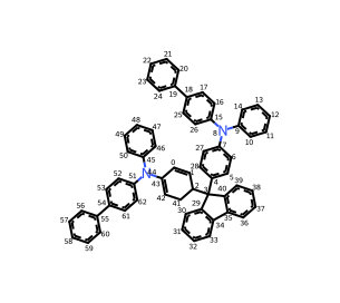 C1=CC(C2(c3ccc(N(c4ccccc4)c4ccc(-c5ccccc5)cc4)cc3)c3ccccc3-c3ccccc32)CC=C1N(c1ccccc1)c1ccc(-c2ccccc2)cc1